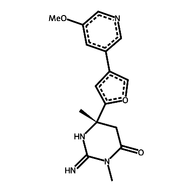 COc1cncc(-c2coc([C@]3(C)CC(=O)N(C)C(=N)N3)c2)c1